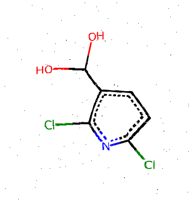 OC(O)c1ccc(Cl)nc1Cl